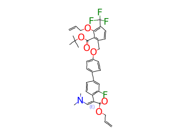 C=CCOC(=O)/C(=C/N(C)C)c1ccc(-c2ccc(OCc3ccc(C(F)(F)F)c(OCC=C)c3C(=O)OC(C)(C)C)cc2)cc1F